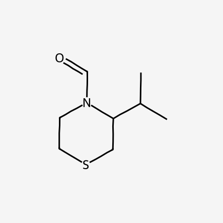 CC(C)C1CSCCN1C=O